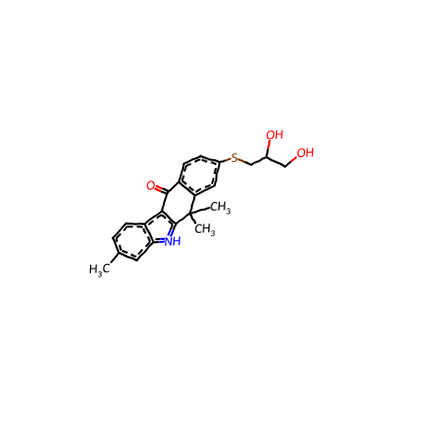 Cc1ccc2c3c([nH]c2c1)C(C)(C)c1cc(SCC(O)CO)ccc1C3=O